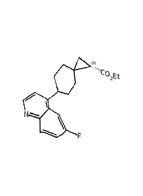 CCOC(=O)[C@H]1CC12CCC(c1ccnc3ccc(F)cc13)CC2